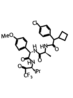 COc1ccc([C@H](NC(=O)[C@H](C)NC(=O)C(c2ccc(Cl)cc2)C2CCC2)C(=O)N[C@H](C(=O)C(F)(F)F)C(C)C)cc1